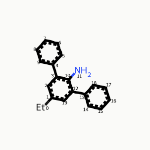 CCc1cc(-c2ccccc2)c(N)c(-c2ccccc2)c1